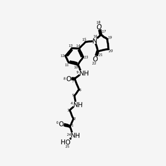 O=C(CCNCCC(=O)Nc1cccc(CN2C(=O)CCC2=O)c1)NO